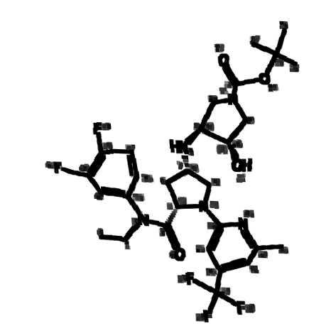 CCN(C(=O)[C@@H]1C[C@H](N[C@H]2CN(C(=O)OC(C)(C)C)C[C@H]2O)CN1c1cc(C(F)(F)F)cc(C)n1)c1ccc(F)c(F)c1